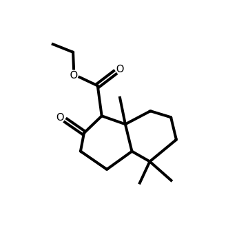 CCOC(=O)C1C(=O)CCC2C(C)(C)CCCC12C